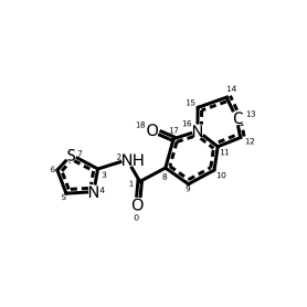 O=C(Nc1nccs1)c1ccc2ccccn2c1=O